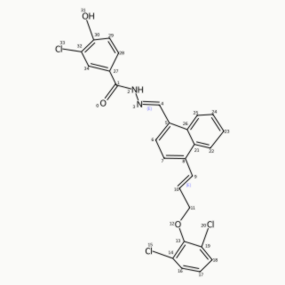 O=C(N/N=C/c1ccc(/C=C/COc2c(Cl)cccc2Cl)c2ccccc12)c1ccc(O)c(Cl)c1